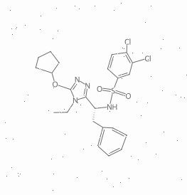 CCn1c(OC2CCCC2)nnc1[C@@H](Cc1ccccc1)NS(=O)(=O)c1ccc(Cl)c(Cl)c1